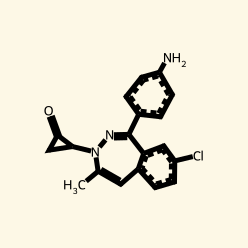 CC1=Cc2ccc(Cl)cc2C(c2ccc(N)cc2)=NN1C1CC1=O